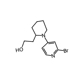 OCCC1CCCCN1c1ccnc(Br)c1